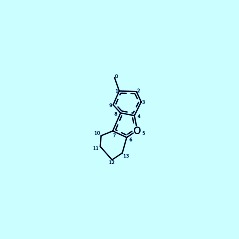 Cc1ccc2oc3c(c2c1)CCCC3